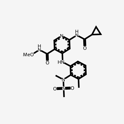 CONC(=O)c1cnc(NC(=O)C2CC2)cc1Nc1cccc(C)c1N(C)S(C)(=O)=O